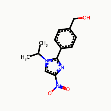 CC(C)n1cc([N+](=O)[O-])nc1-c1ccc(CO)cc1